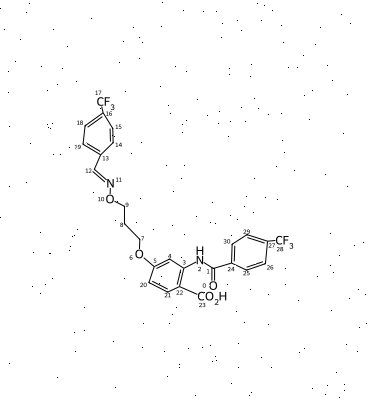 O=C(Nc1cc(OCCCON=Cc2ccc(C(F)(F)F)cc2)ccc1C(=O)O)c1ccc(C(F)(F)F)cc1